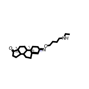 CCNCCCCO/N=C1/C=C2CCC3C(CC[C@]4(C)C(=O)CCC34)[C@@]2(C)CC1